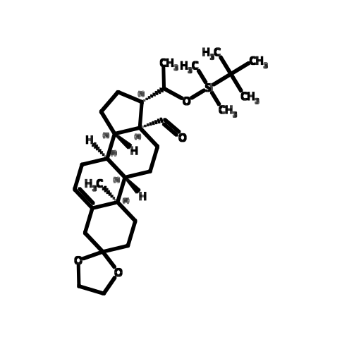 CC(O[Si](C)(C)C(C)(C)C)[C@H]1CC[C@H]2[C@@H]3CC=C4CC5(CC[C@]4(C)[C@H]3CC[C@]12C=O)OCCO5